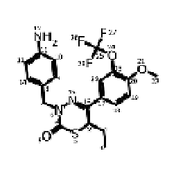 CCC1SC(=O)N(Cc2ccc(N)cc2)N=C1c1ccc(OC)c(OC(F)(F)F)c1